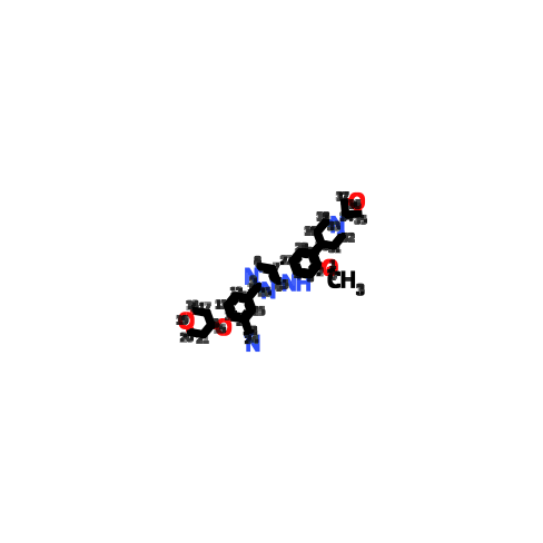 COc1cc(Nc2ccnc(-c3ccc(OC4CCOCC4)c(C#N)c3)n2)ccc1C1CCN(C2COC2)CC1